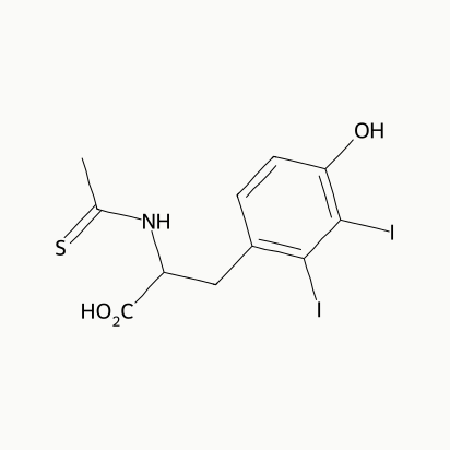 CC(=S)NC(Cc1ccc(O)c(I)c1I)C(=O)O